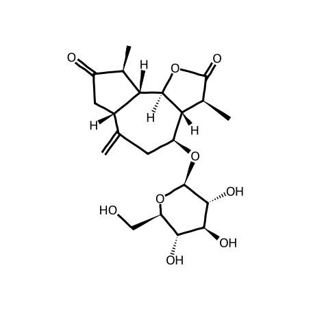 C=C1C[C@H](O[C@@H]2O[C@H](CO)[C@@H](O)[C@H](O)[C@H]2O)[C@@H]2[C@H](OC(=O)[C@H]2C)[C@H]2[C@H](C)C(=O)C[C@@H]12